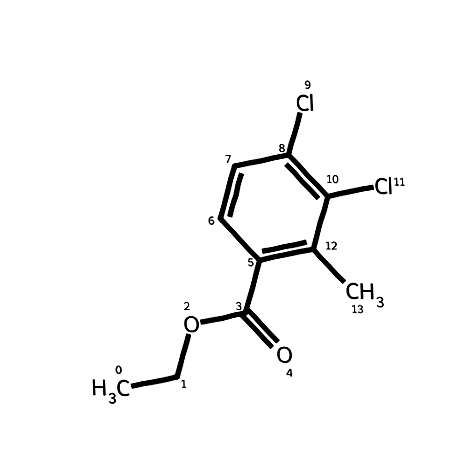 CCOC(=O)c1ccc(Cl)c(Cl)c1C